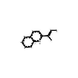 C/C=C(\C)c1ccc2ccccc2n1